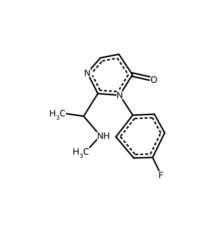 CNC(C)c1nccc(=O)n1-c1ccc(F)cc1